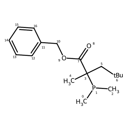 CP(C)C(C)(CC(C)(C)C)C(=O)OCc1ccccc1